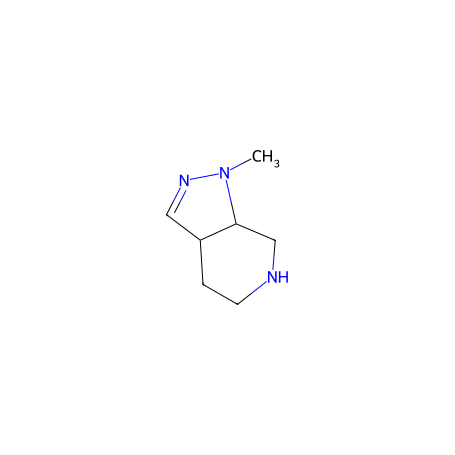 CN1N=CC2CCNCC21